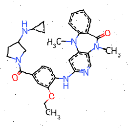 CCOc1cc(C(=O)N2CCC(NC3CC3)C2)ccc1Nc1cc2c(cn1)N(C)C(=O)c1ccccc1N2C